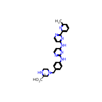 Cc1cccc(-c2nccc(Nc3ccnc(Nc4ccc(CN5CCN[C@H](C(=O)O)C5)cc4)n3)n2)n1